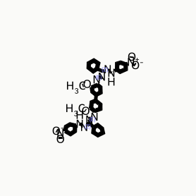 COc1cc(-c2ccc(/N=N/C(=N\Nc3ccc([N+](=O)[O-])cc3)c3ccccc3)c(OC)c2)ccc1/N=N/C(=N\Nc1ccc([N+](=O)[O-])cc1)c1ccccc1